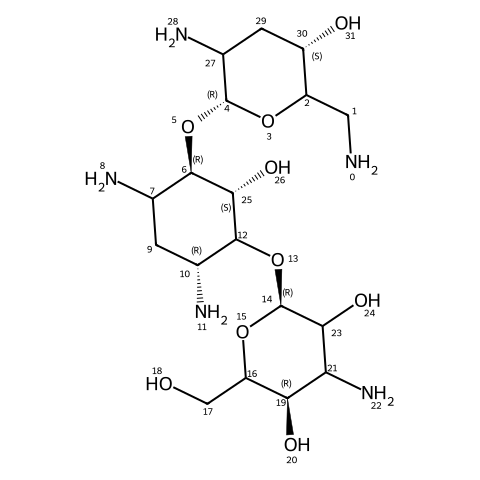 NCC1O[C@H](O[C@@H]2C(N)C[C@@H](N)C(O[C@@H]3OC(CO)[C@H](O)C(N)C3O)[C@H]2O)C(N)C[C@@H]1O